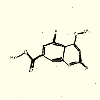 COC(=O)c1cc(F)c2c(OC)cc(Br)nc2c1